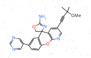 COC(C)(C)C#Cc1cnc2c(c1)C1(COC(N)=N1)c1cc(-c3cncnc3)ccc1O2